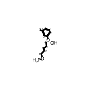 Cc1cccc(OCCCCCOP)c1.Cl